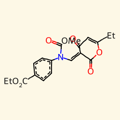 CCOC(=O)c1ccc(N(C=C2C(=O)C=C(CC)OC2=O)C(=O)OC)cc1